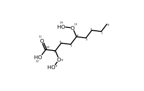 CCCCC(CCC(OO)C(=O)O)OO